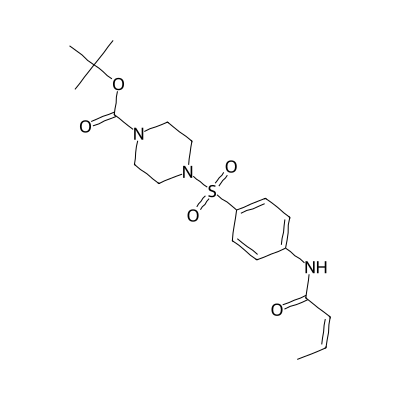 C/C=C\C(=O)Nc1ccc(S(=O)(=O)N2CCN(C(=O)OC(C)(C)C)CC2)cc1